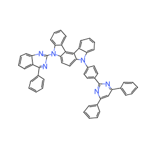 c1ccc(-c2cc(-c3ccccc3)nc(-c3ccc(-n4c5ccccc5c5c6c7ccccc7n(-c7nc(-c8ccccc8)c8ccccc8n7)c6ccc54)cc3)n2)cc1